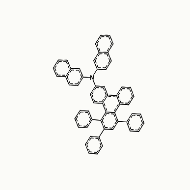 c1ccc(-c2cc(-c3ccccc3)c3c4ccccc4c4cc(N(c5ccc6ccccc6c5)c5ccc6ccccc6c5)ccc4c3c2-c2ccccc2)cc1